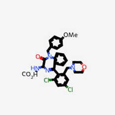 COc1ccc(CN2C(=O)C(NC(=O)O)N=C(c3c(Cl)cc(Cl)cc3CN3CCOCC3)c3ccccc32)cc1